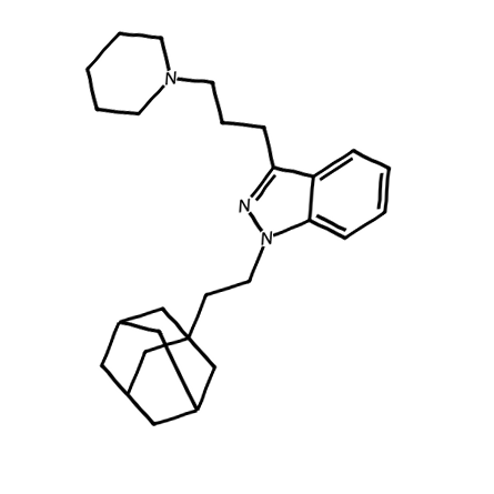 c1ccc2c(c1)c(CCCN1CCCCC1)nn2CCC12CC3CC(CC(C3)C1)C2